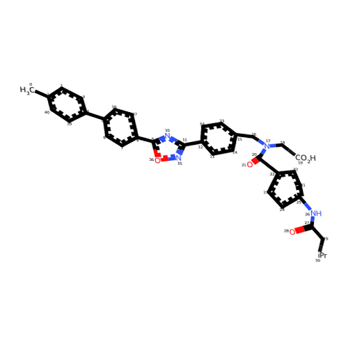 Cc1ccc(-c2ccc(-c3nc(-c4ccc(CN(CC(=O)O)C(=O)c5ccc(NC(=O)CC(C)C)cc5)cc4)no3)cc2)cc1